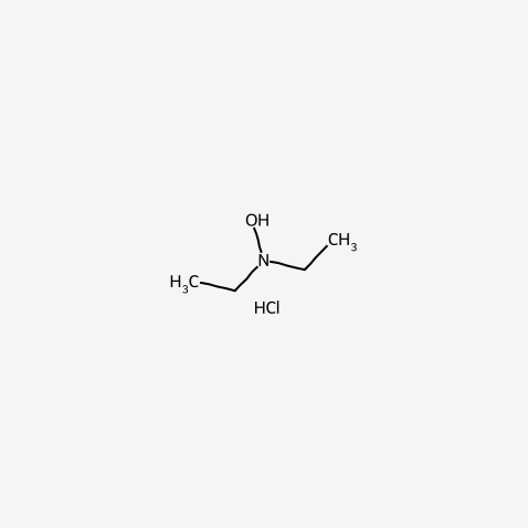 CCN(O)CC.Cl